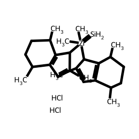 CC1=CC2=C(C(C)CCC2C)[CH]1[Zr]([CH3])([CH3])(=[SiH2])[CH]1C(C)=CC2=C1C(C)CCC2C.Cl.Cl